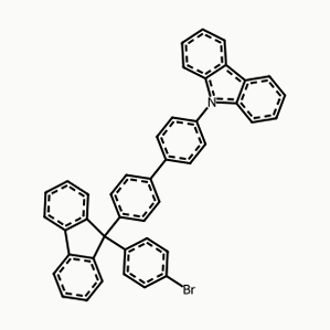 Brc1ccc(C2(c3ccc(-c4ccc(-n5c6ccccc6c6ccccc65)cc4)cc3)c3ccccc3-c3ccccc32)cc1